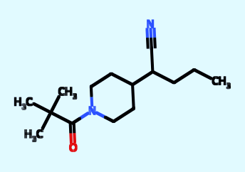 CCCC(C#N)C1CCN(C(=O)C(C)(C)C)CC1